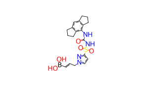 O=C(Nc1c2c(cc3c1CCC3)CCC2)NS(=O)(=O)c1ccn(CC=CB(O)O)n1